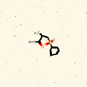 COC(=O)C(C)CS(=O)(=O)c1ccccc1